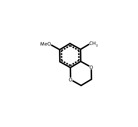 COc1cc(C)c2c(c1)OCCO2